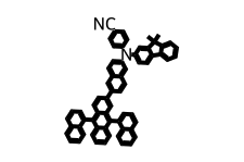 CC1(C)c2ccccc2-c2ccc(N(c3ccc(C#N)cc3)c3ccc4cc(-c5ccc6c(-c7cccc8ccccc78)c7ccccc7c(-c7cccc8ccccc78)c6c5)ccc4c3)cc21